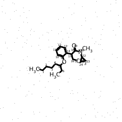 CCCCCC(CC)Oc1ccccc1C(CC)C(=O)N(C)C1CC1